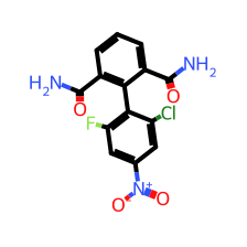 NC(=O)c1cccc(C(N)=O)c1-c1c(F)cc([N+](=O)[O-])cc1Cl